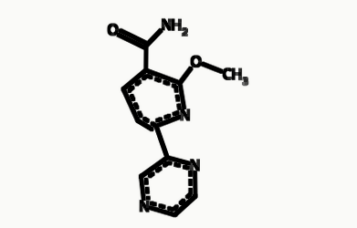 COc1nc(-c2cnccn2)ccc1C(N)=O